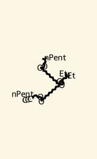 C=C=C=C=CC(CCCCC)CCOC(=O)CCCCCCCCCC1(CCCCCCCCCC(=O)OCCC(C)CCCCC)OCC(CCN(CC)CC)O1